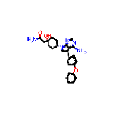 NC(=O)C[C@]1(O)CC[C@H](n2cc(-c3ccc(Oc4ccccc4)cc3)c3c(N)ncnc32)CC1